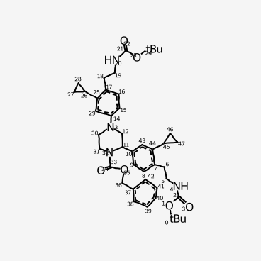 CC(C)(C)OC(=O)NCCc1ccc(C2CN(c3ccc(CCNC(=O)OC(C)(C)C)c(C4CC4)c3)CCN2C(=O)OCc2ccccc2)cc1C1CC1